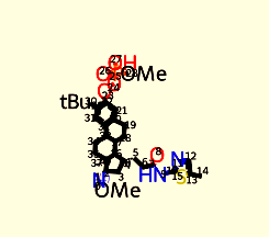 CO/N=C1\C[C@@H](CCC(=O)Nc2ncc(C)s2)C2C3CCc4cc(OOP(=O)(O)OC)c(C(C)(C)C)cc4C3CC[C@]12C